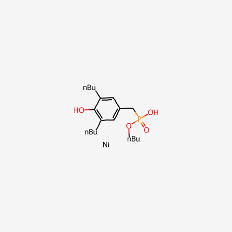 CCCCOP(=O)(O)Cc1cc(CCCC)c(O)c(CCCC)c1.[Ni]